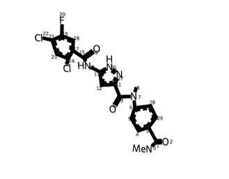 CNC(=O)c1ccc(N(C)C(=O)c2cc(NC(=O)c3cc(F)c(Cl)cc3Cl)[nH]n2)cc1